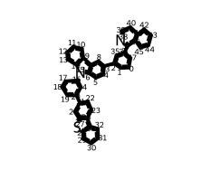 c1cc(-c2ccc3c(c2)c2ccccc2n3-c2cccc(-c3ccc4c(c3)sc3ccccc34)c2)cc(-c2nccc3ccccc23)c1